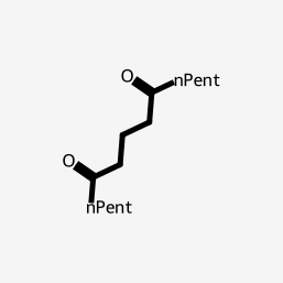 CCCCCC(=O)CCCC(=O)CCCCC